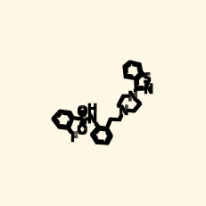 O=S(=O)(Nc1ccccc1CCN1CCN(c2nsc3ccccc23)CC1)c1ccccc1F